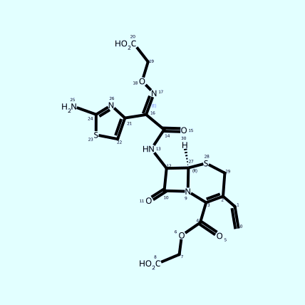 C=CC1=C(C(=O)OCC(=O)O)N2C(=O)C(NC(=O)/C(=N/OCC(=O)O)c3csc(N)n3)[C@H]2SC1